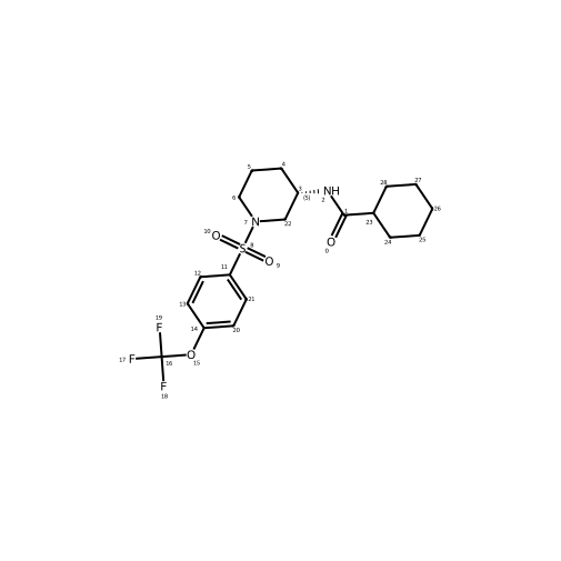 O=C(N[C@H]1CCCN(S(=O)(=O)c2ccc(OC(F)(F)F)cc2)C1)C1CCCCC1